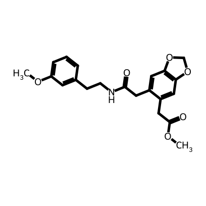 COC(=O)Cc1cc2c(cc1CC(=O)NCCc1cccc(OC)c1)OCO2